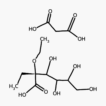 CCO[C@@](CC)(C(=O)O)C(O)C(O)C(O)CO.O=C(O)CC(=O)O